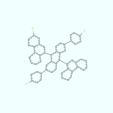 Fc1ccc(-c2ccc3c(-c4cc5cc(F)ccc5c5ccccc45)c4cc(-c5ccc(F)cc5)ccc4c(-c4cc5ccccc5c5ccccc45)c3c2)cc1